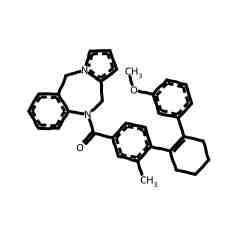 COc1cccc(C2=C(c3ccc(C(=O)N4Cc5cccn5Cc5ccccc54)cc3C)CCCC2)c1